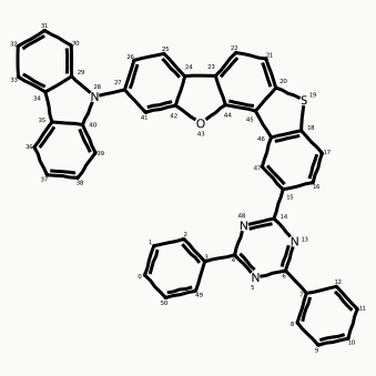 c1ccc(-c2nc(-c3ccccc3)nc(-c3ccc4sc5ccc6c7ccc(-n8c9ccccc9c9ccccc98)cc7oc6c5c4c3)n2)cc1